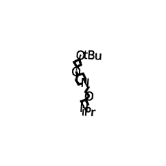 CC(C)N1CC(OCCN2CCC(O[C@H]3C[C@H](OC(C)(C)C)C3)CC2)C1